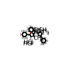 CC1=[C]([Zr]([CH3])(=[GeH2])([C]2=C(C)C=C(c3ccccc3)C2)[c]2ccccc2)CC(c2ccccc2)=C1.Cl.Cl